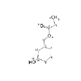 CCC(=O)OCC1CCCC(O)C1